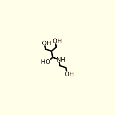 OCCNC(O)C(CO)CO